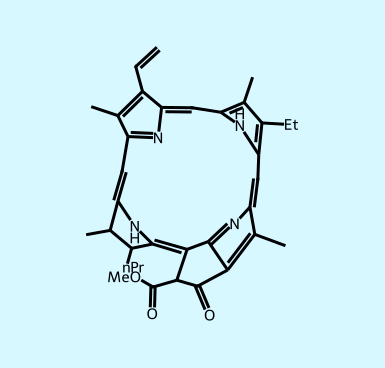 C=CC1=C(C)c2cc3[nH]c(c4c5nc(cc6[nH]c(cc1n2)c(C)c6CC)C(C)=C5C(=O)C4C(=O)OC)C(CCC)C3C